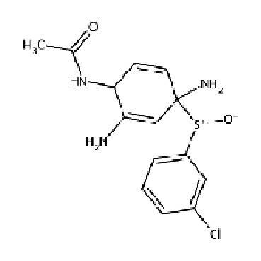 CC(=O)NC1C=CC(N)([S+]([O-])c2cccc(Cl)c2)C=C1N